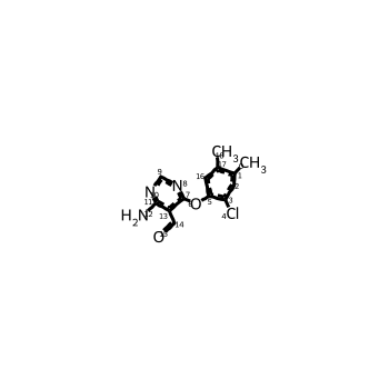 Cc1cc(Cl)c(Oc2ncnc(N)c2C=O)cc1C